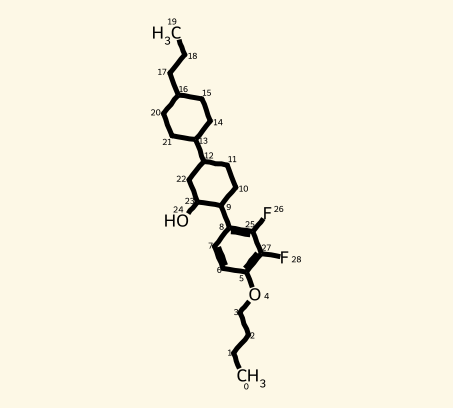 CCCCOc1ccc(C2CCC(C3CCC(CCC)CC3)CC2O)c(F)c1F